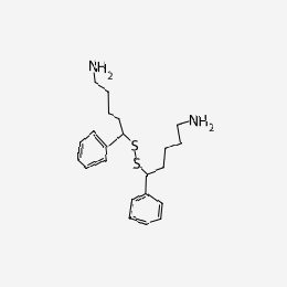 NCCCCC(SSC(CCCCN)c1ccccc1)c1ccccc1